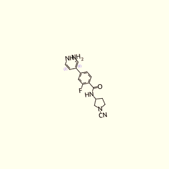 N#CN1CCC(NC(=O)c2ccc(C(/C=C\N)=C/N)cc2F)C1